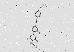 CCCc1ccc(C#Cc2ccc(-c3cc(F)c(N=C=S)c(F)c3)c(F)c2)cc1